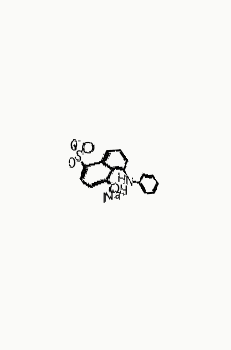 O=S(=O)([O-])c1ccc(O)c2c(Nc3ccccc3)cccc12.[Na+]